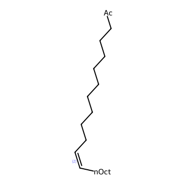 CCCCCCCC/C=C\CCCCCCCCCC(C)=O